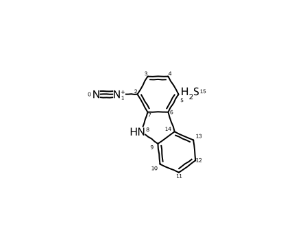 N#[N+]c1cccc2c1[nH]c1ccccc12.S